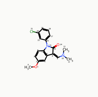 COc1ccc2c(c1)C(=CN(C)C)C(=O)N2c1cccc(Cl)c1